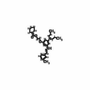 CCCN(CCC)c1cc(N/N=C/c2cccc(C)c2)nc(OCCOC(=O)N2CCCCC2)c1